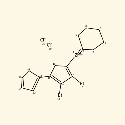 CCC1=[C]([Zr+2]=[C]2CCCCC2)CC(C2=CC=CC2)=C1CC.[Cl-].[Cl-]